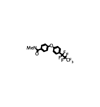 CNC(=O)c1ccc(Oc2ccc(C(F)(F)C(F)(F)C(F)(F)F)cc2)cc1